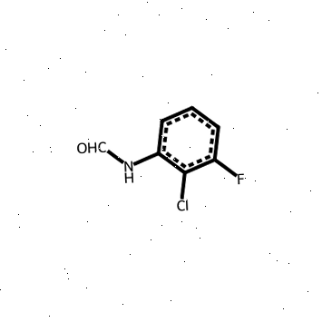 O=CNc1cccc(F)c1Cl